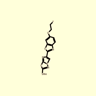 CSc1nn2cc(-c3nc4ccc(OCCF)cc4o3)nc2s1